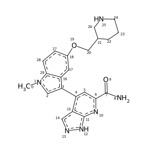 Cn1cc(-c2cc(C(N)=O)nc3[nH]ncc23)c2cc(OCC3CCCNC3)ccc21